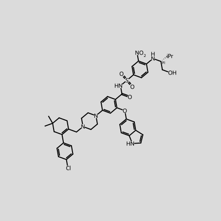 CC(C)[C@H](CO)Nc1ccc(S(=O)(=O)NC(=O)c2ccc(N3CCN(CC4=C(c5ccc(Cl)cc5)CC(C)(C)CC4)CC3)cc2Oc2ccc3[nH]ccc3c2)cc1[N+](=O)[O-]